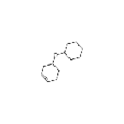 C1=CCC(OC2CCCCC2)CC1